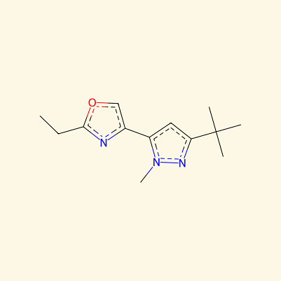 CCc1nc(-c2cc(C(C)(C)C)nn2C)co1